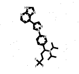 CC(C)N(C(C)C)C(CCC(F)(F)F)c1ccc(-n2cc(-c3ccnc4[nH]cnc34)cn2)nc1